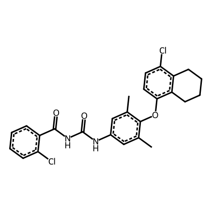 Cc1cc(NC(=O)NC(=O)c2ccccc2Cl)cc(C)c1Oc1ccc(Cl)c2c1CCCC2